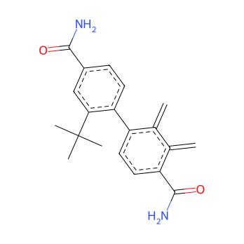 C=c1c(C(N)=O)ccc(-c2ccc(C(N)=O)cc2C(C)(C)C)c1=C